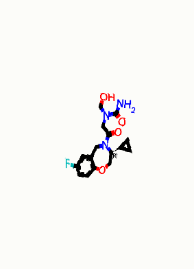 NC(=O)N(CO)CC(=O)N1Cc2cc(F)ccc2OC[C@H]1C1CC1